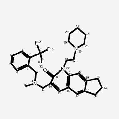 CN(Cc1ccccc1C(F)(F)F)Cc1cc2cc3c(cc2n(CCN2CCCCC2)c1=O)CCC3